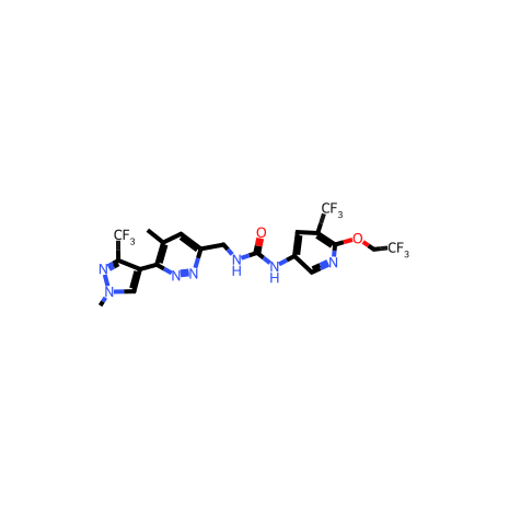 Cc1cc(CNC(=O)Nc2cnc(OCC(F)(F)F)c(C(F)(F)F)c2)nnc1-c1cn(C)nc1C(F)(F)F